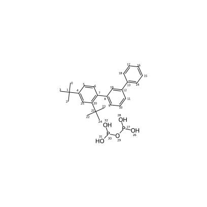 CC(C)(C)c1ccc(-c2cccc(-c3ccccc3)c2)c(C(C)(C)C)c1.OP(O)OP(O)O